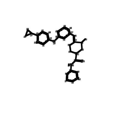 CC1CN(C(=O)Nc2cccnc2)CCC1=Cc1cccc(Oc2ccc(C3CC3)nc2)c1